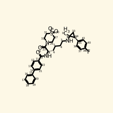 C[C@@]1(NCCCC[C@H](NC(=O)c2ccc(-c3ccccc3)cc2)C(=O)N2CCS(=O)(=O)CC2)C[C@H]1c1ccc(F)cc1